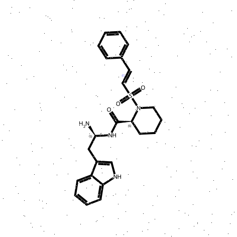 N[C@H](Cc1c[nH]c2ccccc12)NC(=O)[C@@H]1CCCCN1S(=O)(=O)/C=C/c1ccccc1